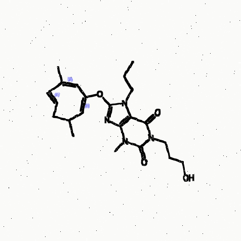 CCCn1c(OC2=C/C(C)C/C=C/C(C)=C\2)nc2c1c(=O)n(CCCO)c(=O)n2C